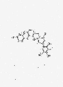 N#Cc1nn(-c2cc(Cl)c(Cc3ccc(O)c(Cc4ccc(F)cc4)c3)c(Cl)c2)c(=O)nc1O